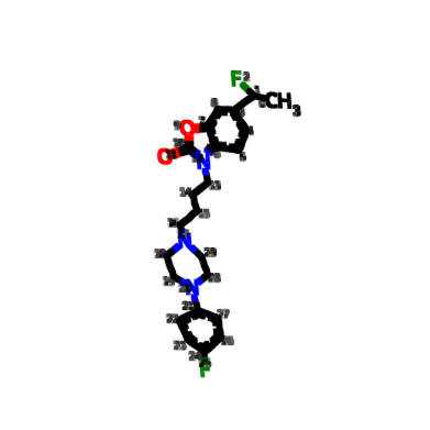 CC(F)c1ccc2c(c1)oc(=O)n2CCCCN1CCN(c2ccc(F)cc2)CC1